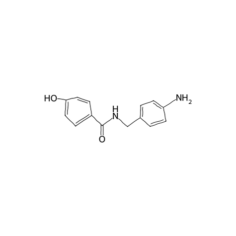 Nc1ccc(CNC(=O)c2ccc(O)cc2)cc1